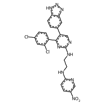 O=[N+]([O-])c1ccc(NCCNc2ncc(-c3ccc4[nH]nnc4c3)c(-c3ccc(Cl)cc3Cl)n2)nc1